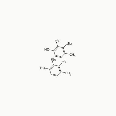 Cc1ccc(O)c(C(C)(C)C)c1C(C)(C)C.Cc1ccc(O)c(C(C)(C)C)c1C(C)(C)C